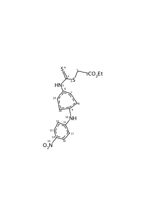 CCOC(=O)CSC(=S)Nc1ccc(Nc2ccc([N+](=O)[O-])cc2)cc1